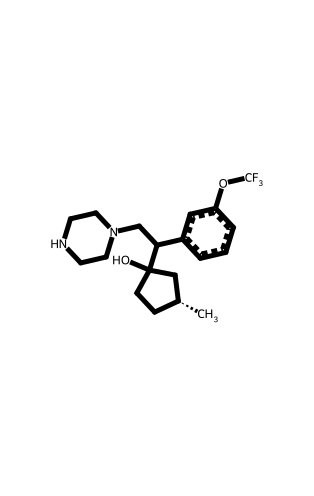 C[C@@H]1CCC(O)(C(CN2CCNCC2)c2cccc(OC(F)(F)F)c2)C1